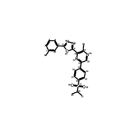 Cc1cccc(-c2nnc(-c3nc(-c4ccc(S(=O)(=O)C(C)C)cc4)cnc3C)o2)c1